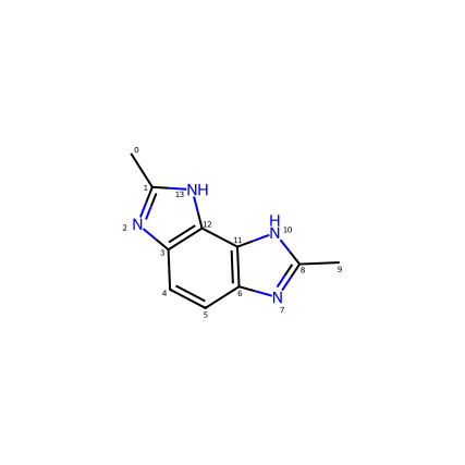 Cc1nc2ccc3nc(C)[nH]c3c2[nH]1